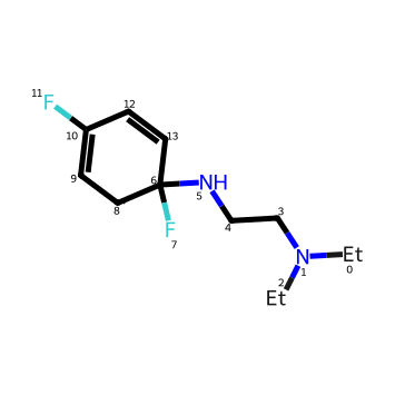 CCN(CC)CCNC1(F)[CH]C=C(F)C=C1